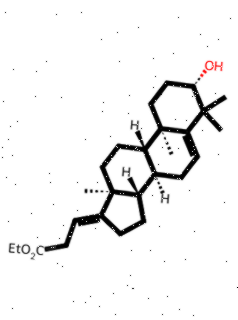 CCOC(=O)C/C=C1\CC[C@H]2[C@@H]3CC=C4C(C)(C)[C@@H](O)CC[C@]4(C)[C@H]3CC[C@]12C